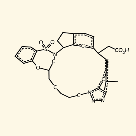 Cc1c2ccc3c1nnn3CCCCCC1CN(C3CCc4ccc(cc43)C2CC(=O)O)S(=O)(=O)c2ccccc2O1